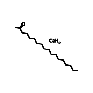 CCCCCCCCCCCCCCCCC(C)=O.[CaH2]